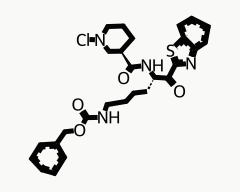 O=C(NCCCC[C@H](NC(=O)[C@@H]1CCCN(Cl)C1)C(=O)c1nc2ccccc2s1)OCc1ccccc1